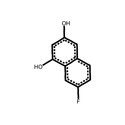 Oc1cc(O)c2cc(F)ccc2c1